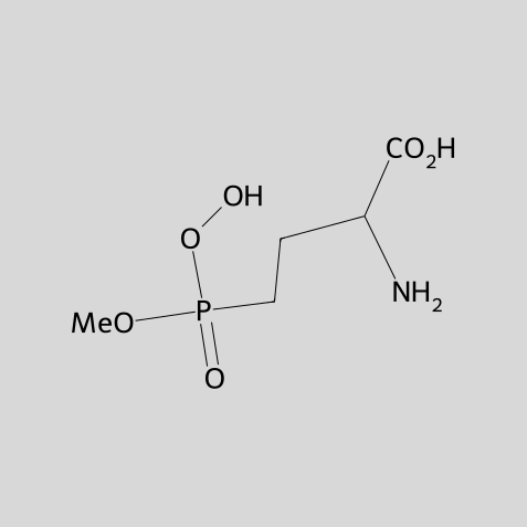 COP(=O)(CCC(N)C(=O)O)OO